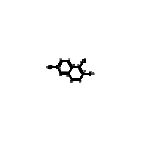 [O-][n+]1ccc2c(Cl)c(F)ccc2c1